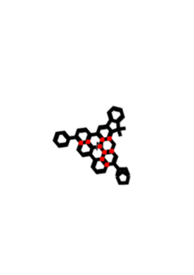 CC1(C)c2ccccc2-c2cc(-c3ccc(-c4ccccc4)cc3)c(N(c3ccc(C4CC5CCC4C5)cc3)c3ccccc3-c3ccccc3C3CCCCC3)cc21